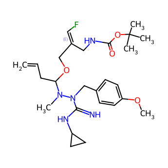 C=CCC(OC/C(=C/F)CNC(=O)OC(C)(C)C)N(C)N(Cc1ccc(OC)cc1)C(=N)NC1CC1